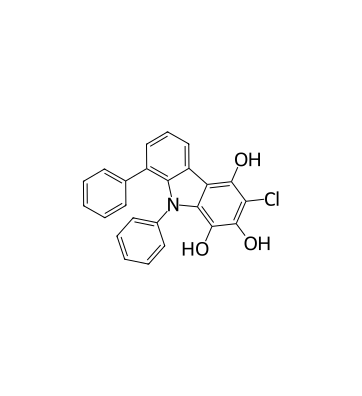 Oc1c(Cl)c(O)c2c3cccc(-c4ccccc4)c3n(-c3ccccc3)c2c1O